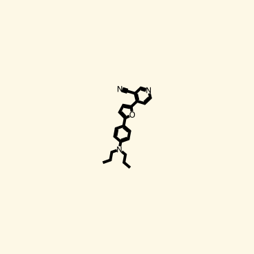 CCCN(CCC)c1ccc(-c2ccc(-c3ccncc3C#N)o2)cc1